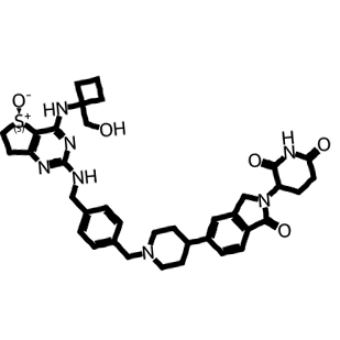 O=C1CCC(N2Cc3cc(C4CCN(Cc5ccc(CNc6nc7c(c(NC8(CO)CCC8)n6)[S@+]([O-])CC7)cc5)CC4)ccc3C2=O)C(=O)N1